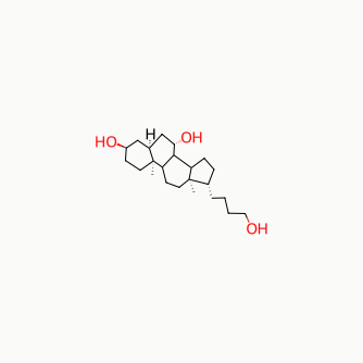 C[C@]12CCC3C(C1CC[C@@H]2CCCCO)[C@@H](O)C[C@@H]1C[C@H](O)CC[C@]31C